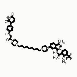 Cc1c(C(C)Nc2nnc(C)c3ccc(N4CCN(CCCCCCCCCN5CCN(C(=O)CNc6ccc(C7CCC(=O)NC7=O)cc6)CC5)CC4)cc23)cccc1C(F)(F)F